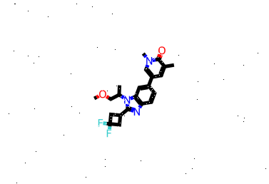 COCC(C)n1c(C2CC(F)(F)C2)nc2ccc(-c3cc(C)c(=O)n(C)c3)cc21